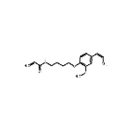 C=CC(=O)NCCCCOc1ccc(/C=C\C)cc1OC